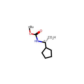 CCCCOC(=O)N[C@H](C(=O)O)C1CCCC1